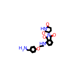 NCc1ccc(OCCNc2cccc3c2C(=O)N(C2CCC(=O)NC2=O)C3=O)cc1